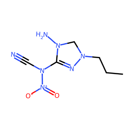 CCCN1CN(N)C(N(C#N)[N+](=O)[O-])=N1